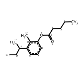 CCCCC(=O)Oc1cccc(C(C)CI)c1C